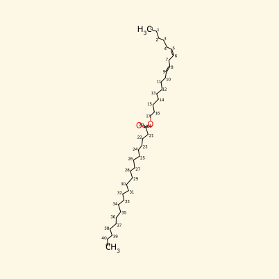 CCCCC/C=C\C/C=C/CCCCCCCCOC(=O)CCCCCCCCCCCCCCCCCCCCC